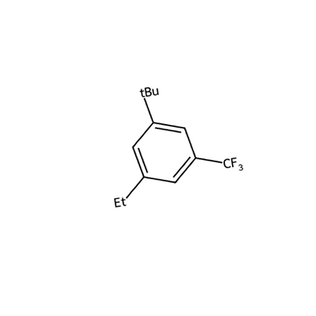 CCc1cc(C(C)(C)C)cc(C(F)(F)F)c1